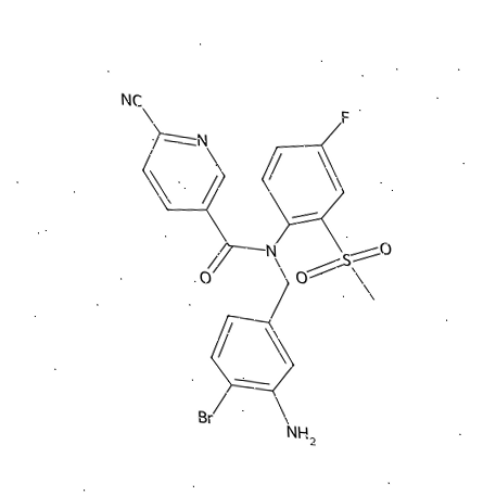 CS(=O)(=O)c1cc(F)ccc1N(Cc1ccc(Br)c(N)c1)C(=O)c1ccc(C#N)nc1